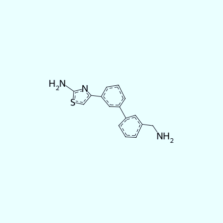 NCc1cccc(-c2cccc(-c3csc(N)n3)c2)c1